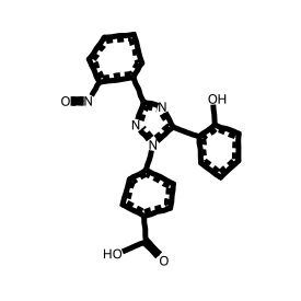 O=Nc1ccccc1-c1nc(-c2ccccc2O)n(-c2ccc(C(=O)O)cc2)n1